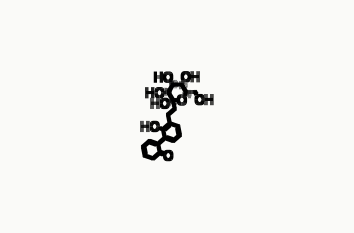 O=C1CC=CC=C1c1cccc(CC[C@@]2(O)O[C@H](CO)[C@@H](O)[C@H](O)[C@H]2O)c1O